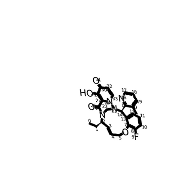 CC[C@@H]1/C=C/COc2c(F)cccc2[C@H](c2ncccc2C)N2CN1C(=O)c1c(O)c(=O)ccn12